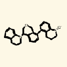 [O-][S+]1CCCc2c(-c3cccc4c3COCC4N3CCCc4ccccc43)cccc21